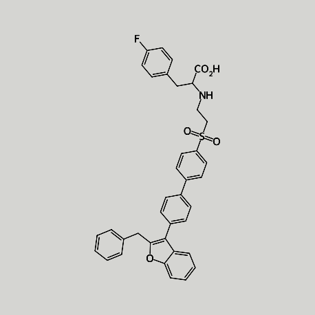 O=C(O)C(Cc1ccc(F)cc1)NCCS(=O)(=O)c1ccc(-c2ccc(-c3c(Cc4ccccc4)oc4ccccc34)cc2)cc1